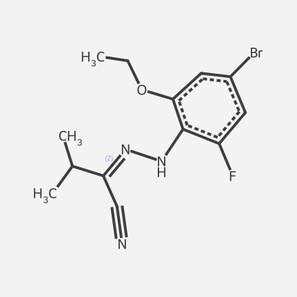 CCOc1cc(Br)cc(F)c1N/N=C(\C#N)C(C)C